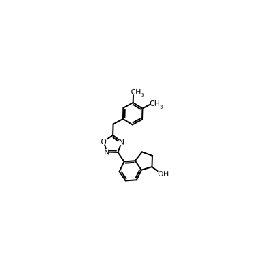 Cc1ccc(Cc2nc(-c3cccc4c3CCC4O)no2)cc1C